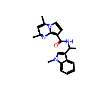 Cc1cc(C)n2ccc(C(=O)NC(C)c3cn(C)c4ccccc34)c2n1